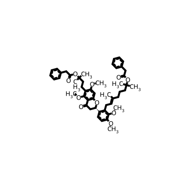 COc1cc2c(c(OC)c1CCC(C)(C)OC(=O)Cc1ccccc1)C(=O)C[C@@H](c1ccc(OC)c(OC)c1C/C=C(\C)CCCC(C)(C)OC(=O)Cc1ccccc1)O2